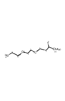 [CH2]C(CCOCCOCCO)OC(C)=O